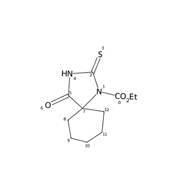 CCOC(=O)N1C(=S)NC(=O)C12CCCCC2